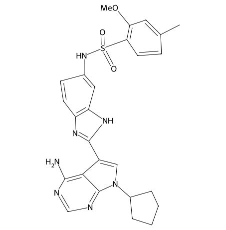 COc1cc(C)ccc1S(=O)(=O)Nc1ccc2nc(-c3cn(C4CCCC4)c4ncnc(N)c34)[nH]c2c1